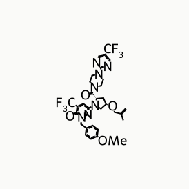 C=C(C)CO[C@H]1C[C@@H](C(=O)N2CCN(c3ncc(C(F)(F)F)cn3)CC2)N(c2cc(C(F)(F)F)c(=O)n(Cc3ccc(OC)cc3)n2)C1